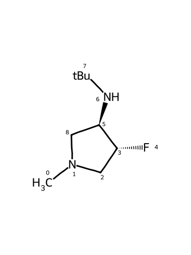 CN1C[C@@H](F)[C@H](NC(C)(C)C)C1